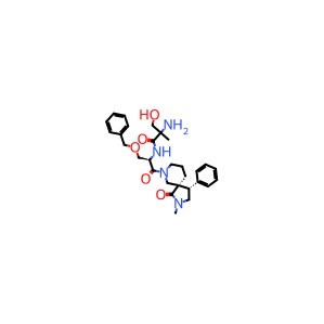 CN1C[C@@H](c2ccccc2)[C@@]2(CCCN(C(=O)[C@@H](COCc3ccccc3)NC(=O)C(C)(N)CO)C2)C1=O